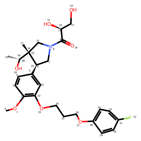 COc1ccc([C@@H]2CN(C(=O)[C@@H](O)CO)C[C@@]2(C)[C@@H](C)O)cc1OCCCOc1ccc(F)cc1